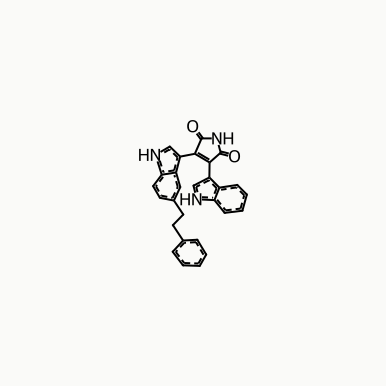 O=C1NC(=O)C(c2c[nH]c3ccc(CCc4ccccc4)cc23)=C1c1c[nH]c2ccccc12